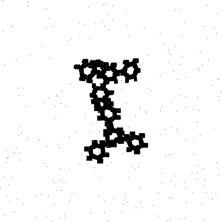 c1ccc(-c2cc(-c3ccc4sc5cc(-c6nc(-c7ccccc7)nc(-c7ccccc7)n6)ccc5c4c3)c3c(c2)sc2ccccc23)cc1